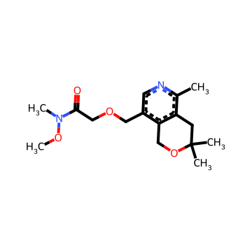 CON(C)C(=O)COCc1cnc(C)c2c1COC(C)(C)C2